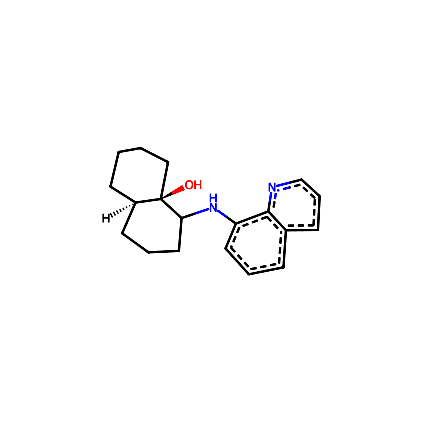 O[C@]12CCCC[C@@H]1CCCC2Nc1cccc2cccnc12